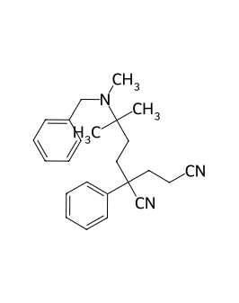 CN(Cc1ccccc1)C(C)(C)CCC(C#N)(CCC#N)c1ccccc1